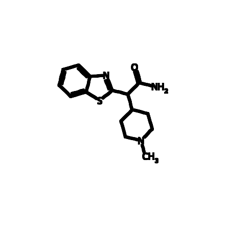 CN1CCC(C(C(N)=O)c2nc3ccccc3s2)CC1